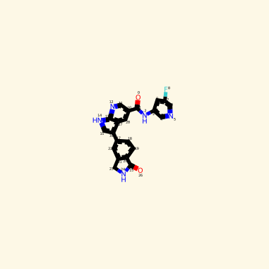 O=C(Nc1cncc(F)c1)c1cnc2[nH]cc(-c3ccc4c(c3)CNC4=O)c2c1